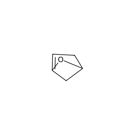 C1=C2CC(C1)O2